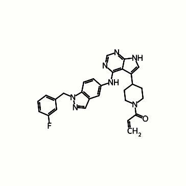 C=CC(=O)N1CCC(c2c[nH]c3ncnc(Nc4ccc5c(cnn5Cc5cccc(F)c5)c4)c23)CC1